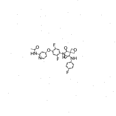 CC(=O)Nc1cc(Oc2cc(F)c(NC(=O)C3(C(=O)Nc4ccc(F)cc4)COC3)cc2F)ccn1